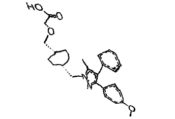 COc1ccc(-c2nn(C[C@H]3CC[C@@H](COCC(=O)O)CC3)c(C)c2-c2ccccc2)cc1